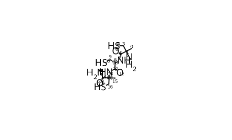 CC(N)(CS)C(=O)N[C@H](CS)C(=O)N[C@](C)(CS)C(N)=O